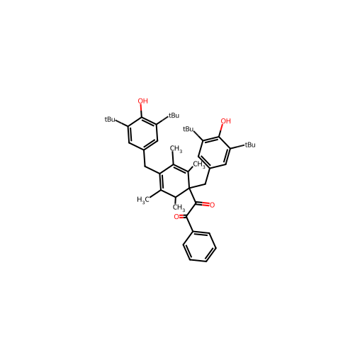 CC1=C(C)C(Cc2cc(C(C)(C)C)c(O)c(C(C)(C)C)c2)(C(=O)C(=O)c2ccccc2)C(C)C(C)=C1Cc1cc(C(C)(C)C)c(O)c(C(C)(C)C)c1